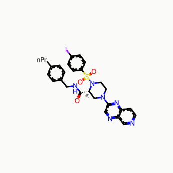 CCCc1ccc(CNC(=O)[C@H]2CN(c3cnc4cnccc4n3)CCN2S(=O)(=O)c2ccc(I)cc2)cc1